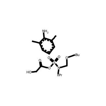 CCCN(COC(C)CC)S(=O)(=O)OC(=O)CO.Cc1cccc(C)c1N